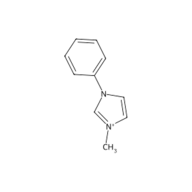 C[n+]1ccn(-c2ccccc2)c1